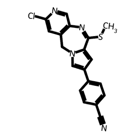 CSC1=Nc2cnc(Cl)cc2Cn2cc(-c3ccc(C#N)cc3)cc21